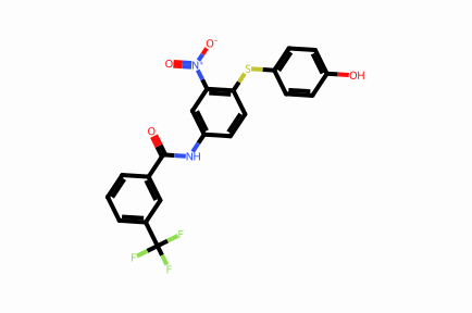 O=C(Nc1ccc(Sc2ccc(O)cc2)c([N+](=O)[O-])c1)c1cccc(C(F)(F)F)c1